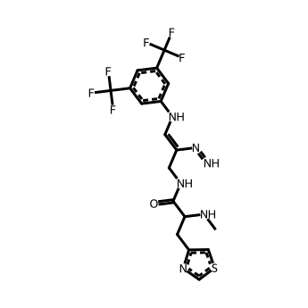 CNC(Cc1cscn1)C(=O)NC/C(=C/Nc1cc(C(F)(F)F)cc(C(F)(F)F)c1)N=N